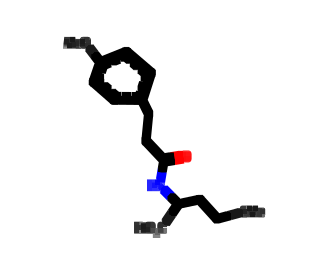 CCOC(=O)C(CCSC)NC(=O)CCc1ccc(OC)cc1